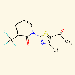 CC(=O)c1sc(N2C=CCC(C(F)(F)F)C2=O)nc1C